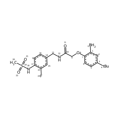 Bc1nc(C(C)(C)C)ccc1OCC(=O)NCc1ccc(NS(C)(=O)=O)c(F)c1